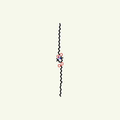 CCCCCCCCCCCCCCCCCC(=O)OC1CC(C)(C)N(OC(=O)CCCCCCCCCCCCCCCCC)C(C)(C)C1